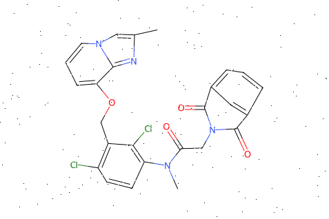 Cc1cn2cccc(OCc3c(Cl)ccc(N(C)C(=O)CN4C(=O)c5cccc(c5)C4=O)c3Cl)c2n1